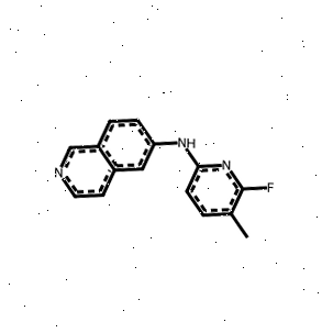 Cc1ccc(Nc2ccc3cnccc3c2)nc1F